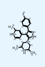 CC1C=C(c2c(-c3ccc(F)cc3)n[nH]c2N2CC(C)NC(C)C2)C=CN1